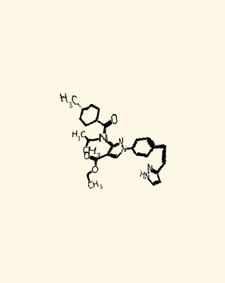 CCOC(=O)c1cn(-c2ccc(/C=C\c3cc[nH]n3)cc2)nc1N(C(=O)[C@H]1CC[C@H](C)CC1)C(C)C